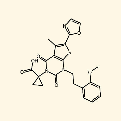 COc1ccccc1CCn1c(=O)n(C2(C(=O)O)CC2)c(=O)c2c(C)c(-c3ncco3)sc21